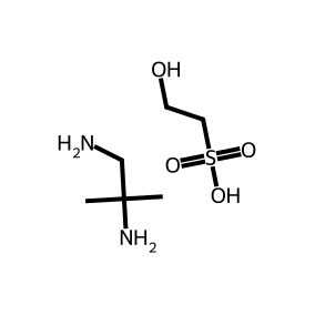 CC(C)(N)CN.O=S(=O)(O)CCO